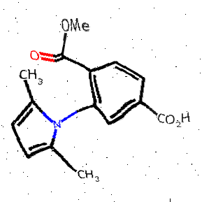 COC(=O)c1ccc(C(=O)O)cc1-n1c(C)ccc1C